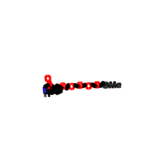 COCCOCCOCCOCCOCCOc1ccc2c(c1)[C@]13CCN(C)[C@H](C2)[C@@H]1CCC(=O)C3